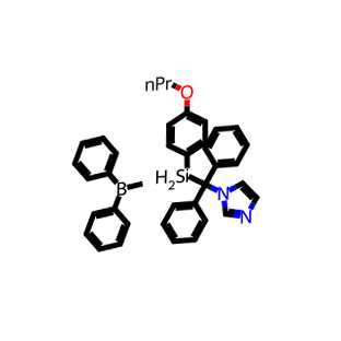 CB(c1ccccc1)c1ccccc1.CCCOc1ccc([SiH2]C(c2ccccc2)(c2ccccc2)n2ccnc2)cc1